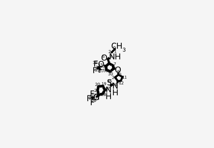 CCCNC(=O)c1cc(OC2CCC(NC(=S)Nc3cccc(OC(F)(F)F)c3)C2)ccc1OC(F)(F)F